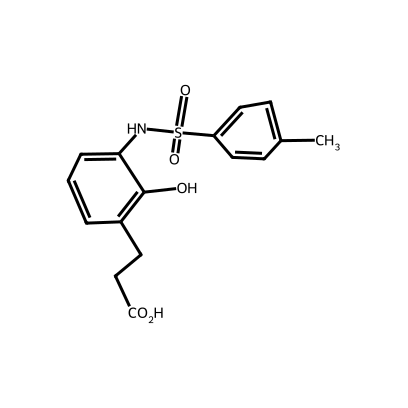 Cc1ccc(S(=O)(=O)Nc2cccc(CCC(=O)O)c2O)cc1